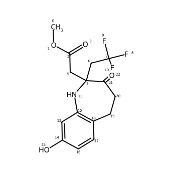 COC(=O)CC1(CC(F)(F)F)Nc2cc(O)ccc2CCC1=O